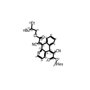 CCCCCCOC(=O)/C(C#N)=c1/c2ccccc2/c(=C(/C#N)C(=O)OCC(CC)CCCC)c2ncccc12